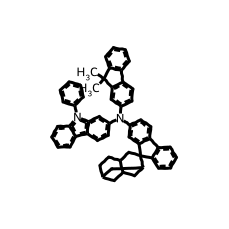 CC1(C)c2ccccc2-c2ccc(N(c3ccc4c(c3)C3(CC5CCC6CC5CC3C6)c3ccccc3-4)c3ccc4c5ccccc5n(-c5ccccc5)c4c3)cc21